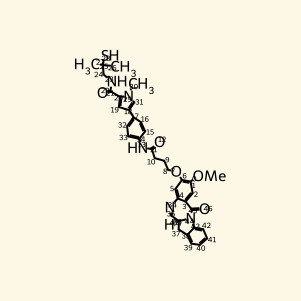 COc1cc2c(cc1OCCCC(=O)Nc1ccc(-c3cc(C(=O)NCC(C)(C)S)n(C)c3)cc1)N=C[C@@H]1Cc3ccccc3N1C2=O